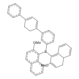 COC1=CCC2C=CC=CC2=C1B(c1cccc(C2=CC=C(c3ccccc3)CC2)c1)c1c(OC)ccc2ccccc12